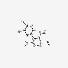 COc1nnc(OC)c(-c2ccc(F)c(Br)c2)c1C=O